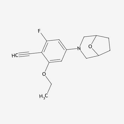 C#Cc1c(F)cc(N2CC3CCC(C2)O3)cc1OCC